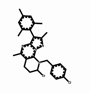 CCC1CCc2c(C)nc3c(-c4c(C)cc(C)cc4C)c(C)nn3c2N1Cc1ccc(Cl)cc1